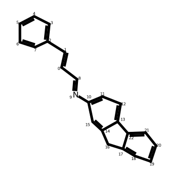 C(=C\c1ccccc1)/C=N/c1ccc2c(c1)Cc1ccccc1-2